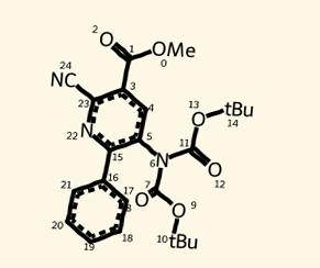 COC(=O)c1cc(N(C(=O)OC(C)(C)C)C(=O)OC(C)(C)C)c(-c2ccccc2)nc1C#N